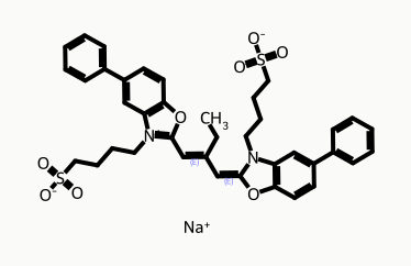 CCC(=C\c1oc2ccc(-c3ccccc3)cc2[n+]1CCCCS(=O)(=O)[O-])/C=C1/Oc2ccc(-c3ccccc3)cc2N1CCCCS(=O)(=O)[O-].[Na+]